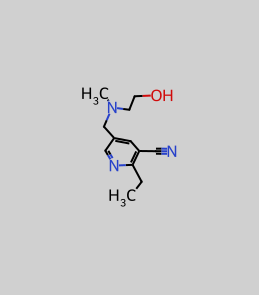 CCc1ncc(CN(C)CCO)cc1C#N